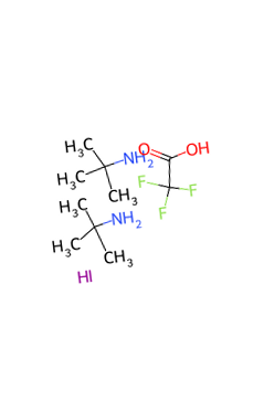 CC(C)(C)N.CC(C)(C)N.I.O=C(O)C(F)(F)F